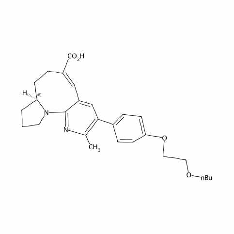 CCCCOCCOc1ccc(-c2cc3c(nc2C)N2CCC[C@H]2CCC(C(=O)O)=C3)cc1